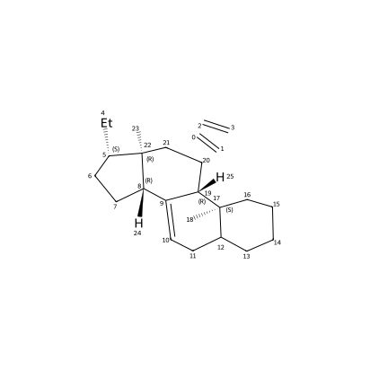 C=C.C=C.CC[C@H]1CC[C@H]2C3=CCC4CCCC[C@]4(C)[C@H]3CC[C@]12C